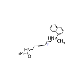 CCCC(=O)NCCC#C/C=C/CN[C@H](C)c1cccc2ccccc12